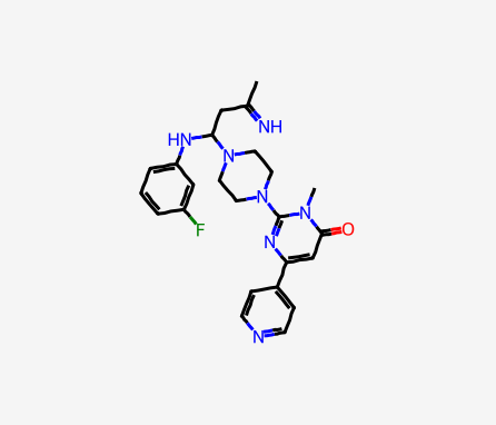 CC(=N)CC(Nc1cccc(F)c1)N1CCN(c2nc(-c3ccncc3)cc(=O)n2C)CC1